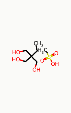 CCC(CO)(CO)CO.CS(=O)(=O)O